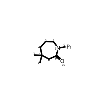 CC(C)N1CCCC(C)(C)CC1=O